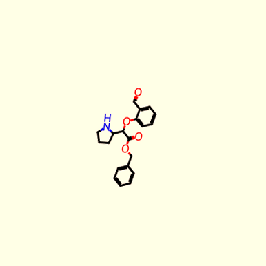 O=Cc1ccccc1OC(C(=O)OCc1ccccc1)C1CCCN1